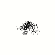 CC(C)CCCC(C)[C@H]1CC[C@H]2[C@@H]3CC=C4C[C@@H](O)CC[C@]4(C)[C@H]3CC[C@]12C.c1ccccc1